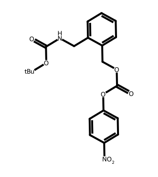 CC(C)(C)OC(=O)NCc1ccccc1COC(=O)Oc1ccc([N+](=O)[O-])cc1